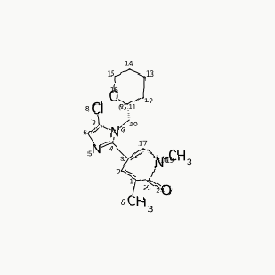 Cc1cc(-c2ncc(Cl)n2C[C@H]2CCCCO2)cn(C)c1=O